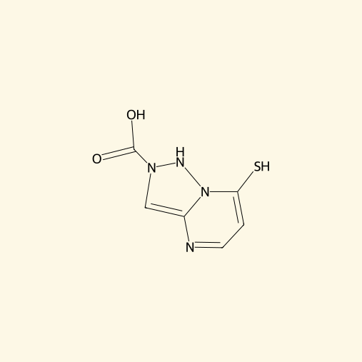 O=C(O)N1C=C2N=CC=C(S)N2N1